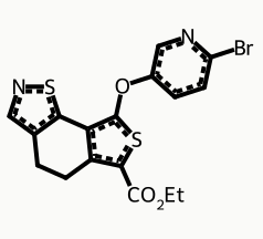 CCOC(=O)c1sc(Oc2ccc(Br)nc2)c2c1CCc1cnsc1-2